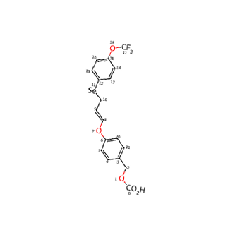 O=C(O)OCc1ccc(OC=CC[Se]c2ccc(OC(F)(F)F)cc2)cc1